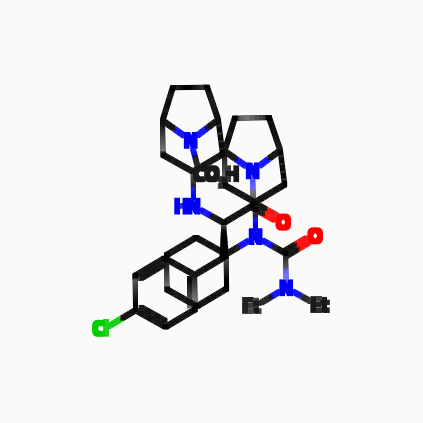 CCN(CC)C(=O)N(C1CCCCC1)C1CC2CCC(C1)N2C(=O)[C@@H](Cc1ccc(Cl)cc1)NC1CC2CCC(C1)N2C(=O)O